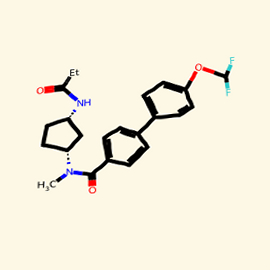 CCC(=O)N[C@H]1CC[C@@H](N(C)C(=O)c2ccc(-c3ccc(OC(F)F)cc3)cc2)C1